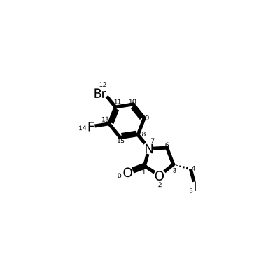 O=C1O[C@@H](CI)CN1c1ccc(Br)c(F)c1